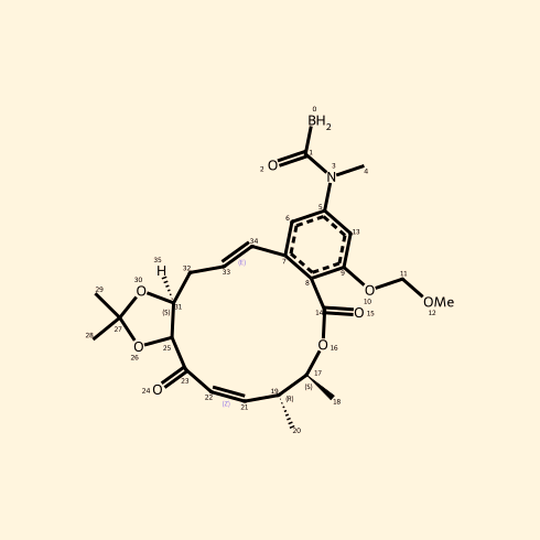 BC(=O)N(C)c1cc2c(c(OCOC)c1)C(=O)O[C@@H](C)[C@H](C)/C=C\C(=O)C1OC(C)(C)O[C@H]1C/C=C/2